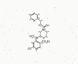 CCOC(=O)c1cnc(Cl)nc1N(C)C1CCCN(C(=O)OCc2ccccc2)C1